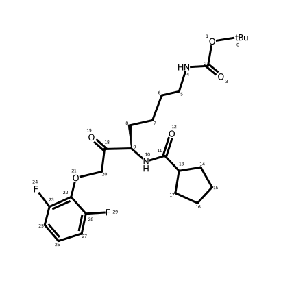 CC(C)(C)OC(=O)NCCCC[C@@H](NC(=O)C1CCCC1)C(=O)COc1c(F)cccc1F